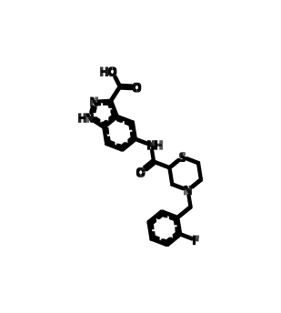 O=C(O)c1n[nH]c2ccc(NC(=O)C3CN(Cc4ccccc4F)CCS3)cc12